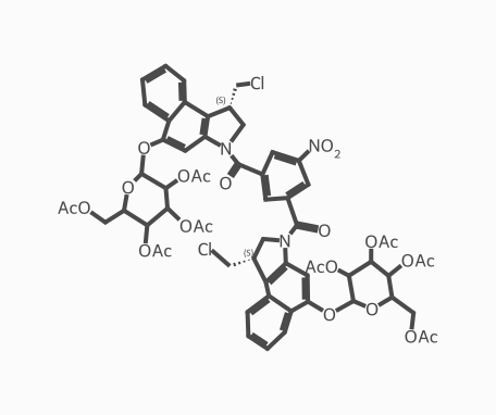 CC(=O)OCC1OC(Oc2cc3c(c4ccccc24)[C@H](CCl)CN3C(=O)c2cc(C(=O)N3C[C@@H](CCl)c4c3cc(OC3OC(COC(C)=O)C(OC(C)=O)C(OC(C)=O)C3OC(C)=O)c3ccccc43)cc([N+](=O)[O-])c2)C(OC(C)=O)C(OC(C)=O)C1OC(C)=O